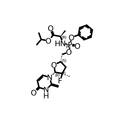 C=C1NC(=O)C=CN1[C@@H]1O[C@H](CO[P@](=O)(N[C@H](C)C(=O)OC(C)C)Oc2ccccc2)C[C@@]1(C)F